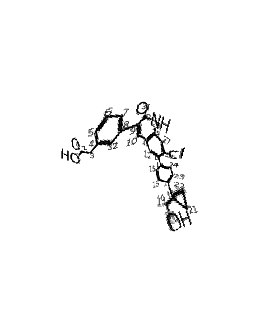 O=C(O)Cc1cccc(-c2cc3cc(-c4ccc(C5(CO)CC5)cc4)c(Cl)cc3[nH]c2=O)c1